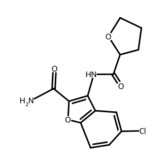 NC(=O)c1oc2ccc(Cl)cc2c1NC(=O)C1CCCO1